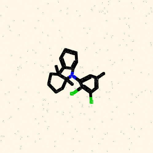 Cc1cc(Cl)c(Cl)c(N2c3ccccc3C3(C)CCCCC23C)c1